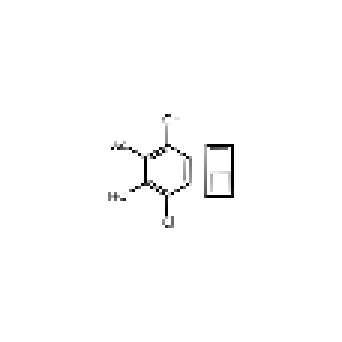 CC(=O)c1c(O)ccc(Cl)c1O.c1cc2ccc1-2